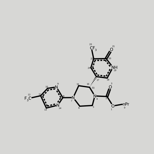 CCCOC(=O)N1CCN(c2ncc(C(F)(F)F)cn2)C[C@@H]1c1c[nH]c(=O)c(C(F)(F)F)c1